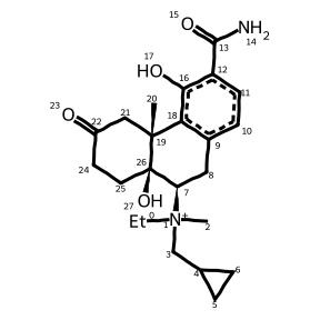 CC[N+](C)(CC1CC1)[C@@H]1Cc2ccc(C(N)=O)c(O)c2[C@@]2(C)CC(=O)CC[C@@]12O